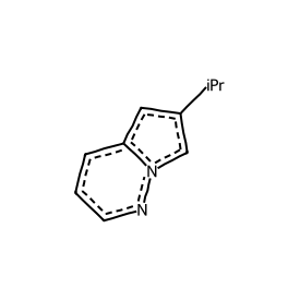 CC(C)c1cc2cccnn2c1